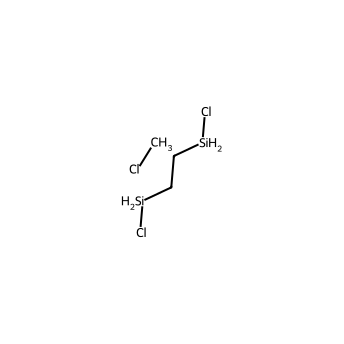 CCl.Cl[SiH2]CC[SiH2]Cl